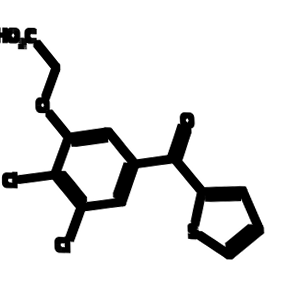 O=C(O)COc1cc(C(=O)c2cccs2)cc(Cl)c1Cl